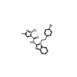 CCn1nc(C)cc1C(=O)Nc1nc2ccccc2n1CCc1ccc(Br)cc1